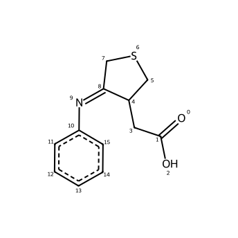 O=C(O)CC1CSCC1=Nc1ccccc1